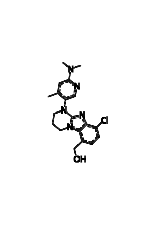 Cc1cc(N(C)C)ncc1N1CCCn2c1nc1c(Cl)ccc(CO)c12